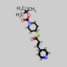 CC(C)(C)OC(=O)N1CCC(SC(=O)/C=C/c2ccncc2)CC1